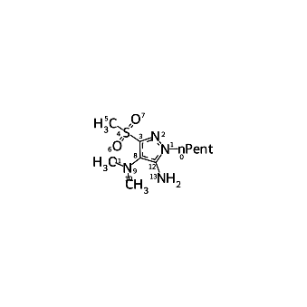 CCCCCn1nc(S(C)(=O)=O)c(N(C)C)c1N